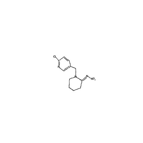 O=[N+]([O-])N=C1CCCCN1Cc1ccc(Cl)nc1